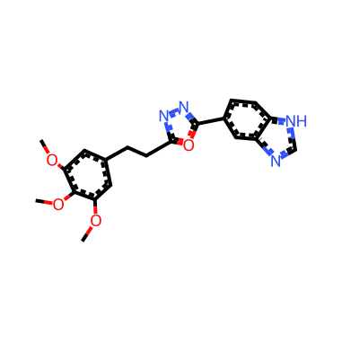 COc1cc(CCc2nnc(-c3ccc4[nH]cnc4c3)o2)cc(OC)c1OC